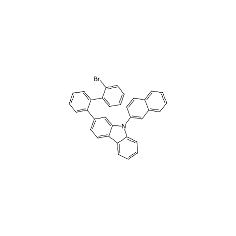 Brc1ccccc1-c1ccccc1-c1ccc2c3ccccc3n(-c3ccc4ccccc4c3)c2c1